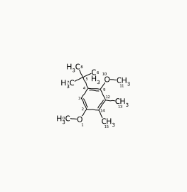 COc1cc(C(C)(C)C)c(OC)c(C)c1C